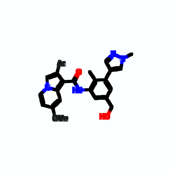 COc1ccn2cc(C(C)=O)c(C(=O)Nc3cc(CO)cc(-c4cnn(C)c4)c3C)c2c1